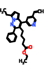 C=Cc1cncc(-c2c(CCCCC(=O)OCC)c(-c3ccccc3)nn3c(CC)ccc23)c1